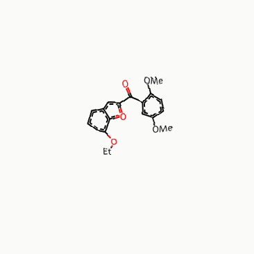 CCOc1cccc2cc(C(=O)c3cc(OC)ccc3OC)oc12